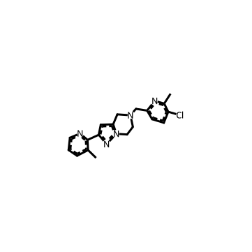 Cc1cccnc1-c1cc2n(n1)CCN(Cc1ccc(Cl)c(C)n1)C2